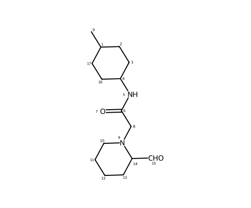 CC1CCC(NC(=O)CN2CCCCC2C=O)CC1